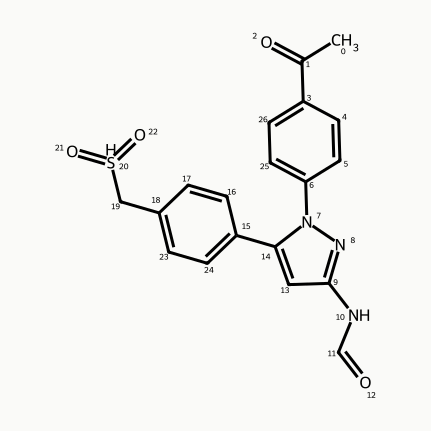 CC(=O)c1ccc(-n2nc(NC=O)cc2-c2ccc(C[SH](=O)=O)cc2)cc1